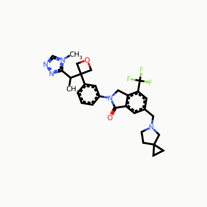 CC(c1nncn1C)C1(c2cccc(N3Cc4c(cc(CN5CCC6(CC6)C5)cc4C(F)(F)F)C3=O)c2)COC1